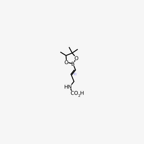 CC1OB(/C=C/CNC(=O)O)OC1(C)C